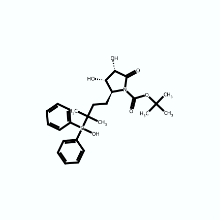 CC(C)(C)OC(=O)N1C(=O)[C@@H](O)[C@@H](O)[C@@H]1CCC(C)(C)[Si](O)(c1ccccc1)c1ccccc1